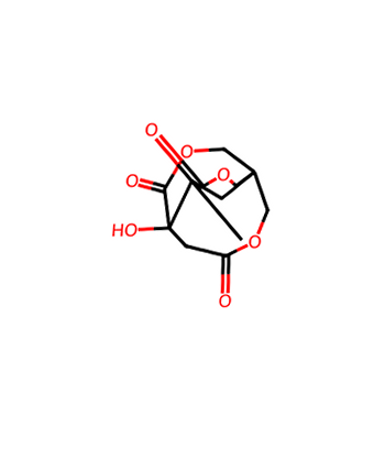 O=C1CC2(O)C(=O)OCC3(CO1)COC(=O)C2C3